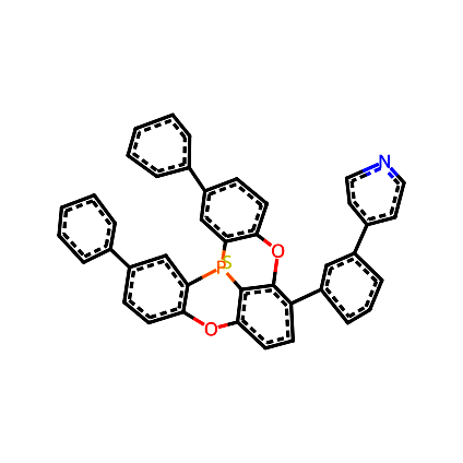 S=P12c3cc(-c4ccccc4)ccc3Oc3ccc(-c4cccc(-c5ccncc5)c4)c(c31)Oc1ccc(-c3ccccc3)cc12